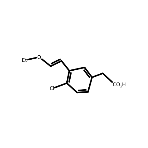 CCO/C=C/c1cc(CC(=O)O)ccc1Cl